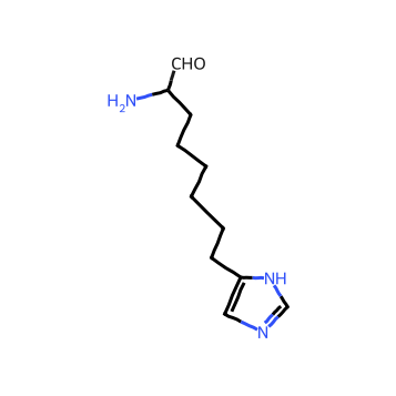 NC(C=O)CCCCCCc1cnc[nH]1